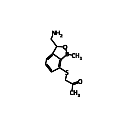 CB1OC(CN)c2cccc(SCC(C)=O)c21